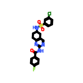 O=C(Nc1ncc2c(n1)CCC(NS(=O)(=O)c1cccc(Cl)c1)C2)c1ccc(F)cc1